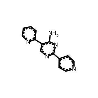 Nc1nc(-c2ccncc2)ncc1-c1ccccn1